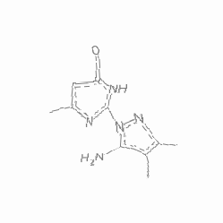 Cc1cc(=O)[nH]c(-n2nc(C)c(C)c2N)n1